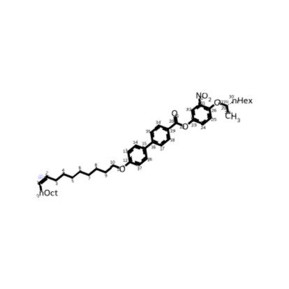 CCCCCCCC/C=C\CCCCCCCCOc1ccc(-c2ccc(C(=O)Oc3ccc(O[C@@H](C)CCCCCC)c([N+](=O)[O-])c3)cc2)cc1